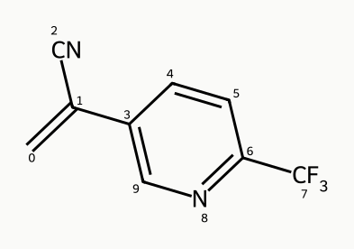 C=C(C#N)c1ccc(C(F)(F)F)nc1